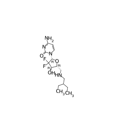 CCC(CC)CNC[C@H]1O[C@@H](n2ccc(N)nc2=O)C(F)(F)[C@@H]1O